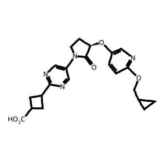 O=C(O)C1CC(c2ncc(N3CC[C@@H](Oc4ccc(OCC5CC5)nc4)C3=O)cn2)C1